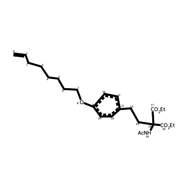 C=CCCCCCCOc1ccc(CCC(NC(C)=O)(C(=O)OCC)C(=O)OCC)cc1